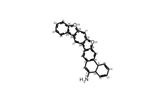 NC1=Cc2cc3c(cc2C2C=CC=CC12)oc1cc2oc4ccccc4c2cc13